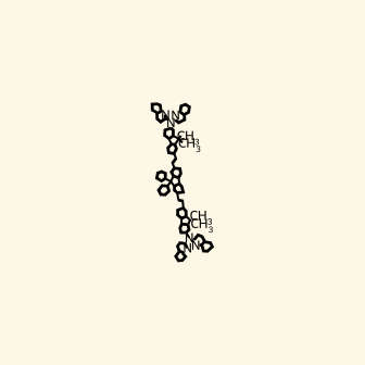 CC1(C)c2cc(/C=C/c3ccc4c(c3)C(c3ccccc3)(c3ccccc3)c3cc(/C=C/c5ccc6c(c5)C(C)(C)c5cc(N(c7ccc8ccccc8n7)c7ccc8ccccc8n7)ccc5-6)ccc3-4)ccc2-c2ccc(N(c3ccc4ccccc4n3)c3ccc4ccccc4n3)cc21